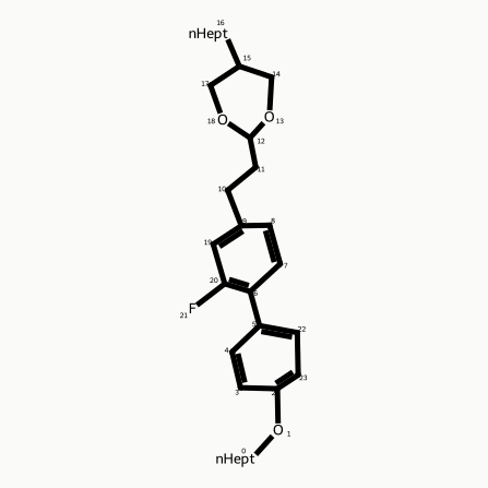 CCCCCCCOc1ccc(-c2ccc(CCC3OCC(CCCCCCC)CO3)cc2F)cc1